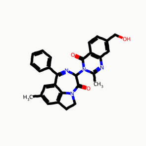 Cc1cc2c3c(c1)C(c1ccccc1)=NC(n1c(C)nc4cc(CO)ccc4c1=O)C(=O)N3CC2